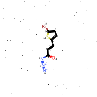 [N-]=[N+]=NC(=O)/C=C/c1ccc(Br)s1